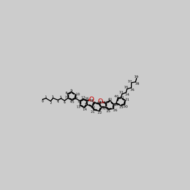 CCCCCCCc1cccc(-c2ccc3c(c2)oc2c3ccc3c4ccc(-c5cccc(CCCCCCC)c5)cc4oc32)c1